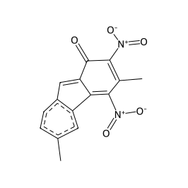 CC1=C([N+](=O)[O-])C(=O)C2=Cc3ccc(C)cc3C2=C1[N+](=O)[O-]